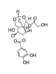 O=C(CO)O[C@@H]1O[C@@H]2C[C@H]3[C@H](OC(=O)c4ccc(O)c(O)c4)[C@@H](Cl)[C@@](O)(CO2)[C@@H]13